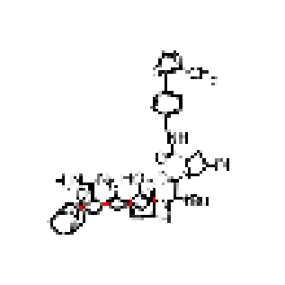 Cc1ncsc1-c1ccc(CNC(=O)[C@@H]2C[C@@H](O)CN2C(=O)C(NC(=O)CCCCCC(=O)N2C3CCC2CN(c2cc(-c4ccccc4O)nnc2N)C3)C(C)(C)C)cc1